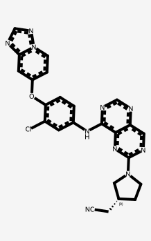 N#CC[C@H]1CCN(c2ncc3ncnc(Nc4ccc(Oc5ccn6ncnc6c5)c(Cl)c4)c3n2)C1